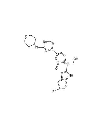 O=c1cc(-c2ccnc(NC3CCOCC3)n2)ccn1[C@H](CO)c1cc2cc(F)ccc2[nH]1